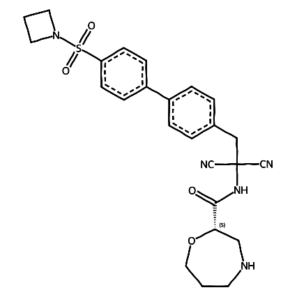 N#CC(C#N)(Cc1ccc(-c2ccc(S(=O)(=O)N3CCC3)cc2)cc1)NC(=O)[C@@H]1CNCCCO1